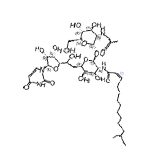 CC(=O)N[C@@H]1[C@H](O[C@@H]2O[C@H](CC(O)C3O[C@@H](n4ccc(=O)[nH]c4=O)[C@H](O)[C@@H]3O)[C@H](O)[C@H](O)[C@H]2NC(=O)/C=C\CCCCCCCCC(C)C)O[C@@H](CO)[C@H](O)[C@H]1O